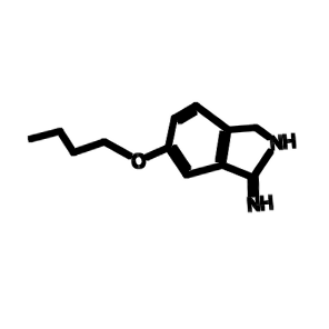 CCCCOc1ccc2c(c1)C(=N)NC2